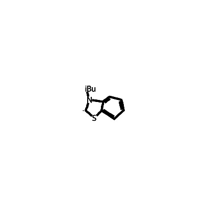 CCC(C)N1[CH]Sc2ccccc21